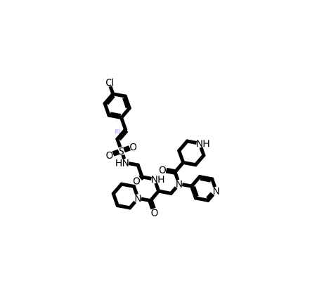 O=C(CNS(=O)(=O)/C=C/c1ccc(Cl)cc1)NC(CN(C(=O)C1CCNCC1)c1ccncc1)C(=O)N1CCCCC1